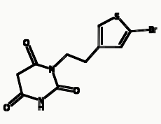 O=C1CC(=O)N(CCc2csc(Br)c2)C(=O)N1